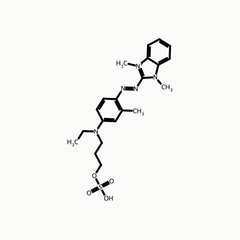 CCN(CCCOS(=O)(=O)O)c1ccc(N=Nc2n(C)c3ccccc3[n+]2C)c(C)c1